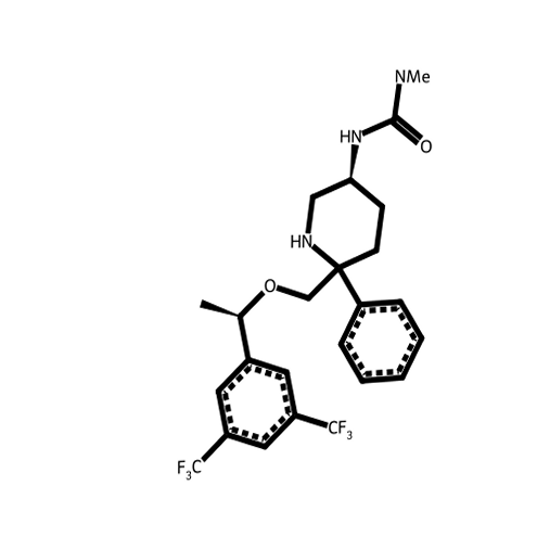 CNC(=O)N[C@H]1CCC(CO[C@H](C)c2cc(C(F)(F)F)cc(C(F)(F)F)c2)(c2ccccc2)NC1